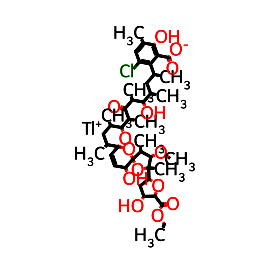 CCOC(=O)C1OC(C2(C)OC3(OC4(C=CC3O)OC(C(C)C(=O)C(C)C(O)C(C)CC(C)c3c(Cl)cc(C)c(O)c3C(=O)[O-])C(C)CC4C)C(C)C2OC)CC1O.[Tl+]